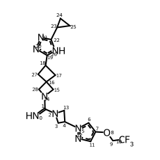 N=C(N1CC(n2cc(OCC(F)(F)F)cn2)C1)N1CC2(CC(c3nnc(C4CC4)[nH]3)C2)C1